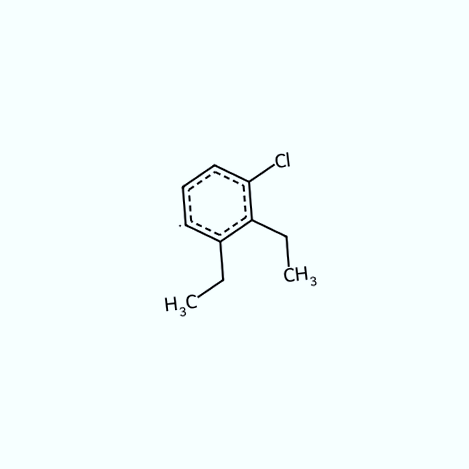 CCc1[c]ccc(Cl)c1CC